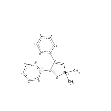 C[Si]1(C)C=C(c2ccccc2)C(c2ccccc2)=C1